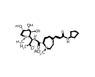 C[C@H](Cl)[C@@H](NC(=O)[C@@H]1CC=C(/C=C/C(=O)NC2CCCC2)CCN1C(=O)O)[C@@H]1[C@H](O)[C@@H](O)[C@@H](O)C[SH]1C